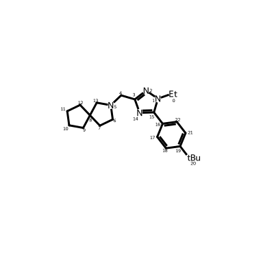 CCn1nc(CN2CCC3(CCCC3)C2)nc1-c1ccc(C(C)(C)C)cc1